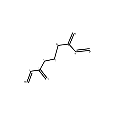 C=CC(=C)CCCC(=C)C=C